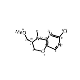 COC[C@@H]1COc2cnc(Cl)nc2N1C